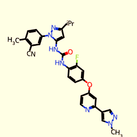 Cc1ccc(-n2nc(C(C)C)cc2NC(=O)Nc2ccc(Oc3ccnc(-c4cnn(C)c4)c3)cc2F)cc1C#N